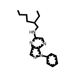 CCCCC(CC)CNc1cnc2c(cnn2-c2ccccc2)n1